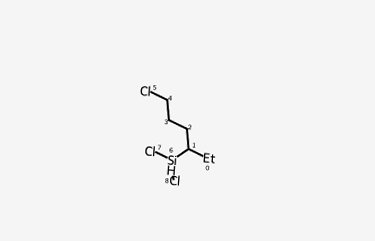 CCC(CCCCl)[SiH](Cl)Cl